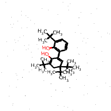 CC(C)(C)C1=C(O)C(c2cccc(C(C)(C)C)c2O)=CC(C(C)(C)C)(C(C)(C)C)C1